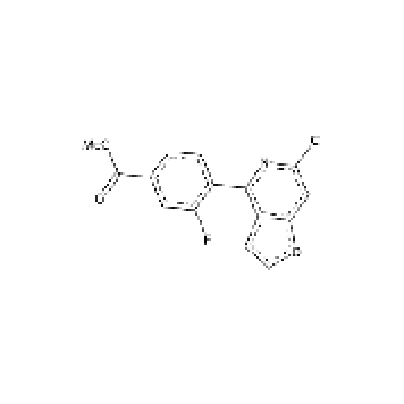 COC(=O)c1ccc(-c2nc(Cl)cc3occc23)c(F)c1